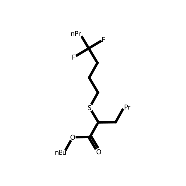 CCCCOC(=O)C(CC(C)C)SCCCC(F)(F)CCC